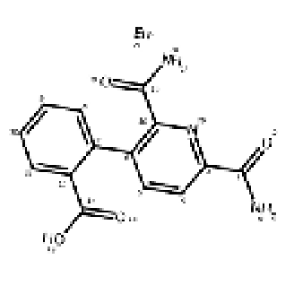 NC(=O)c1ccc(-c2ccccc2C(=O)O)c(C(N)=O)n1.[Eu]